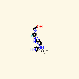 O=C(O)[C@H]1CNCC[C@@H]1Nc1ccc2cnc(Nc3ccc(-n4ccc(CO)n4)cc3F)cc2n1